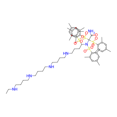 CCNCCCCNCCCCNCCCCNCCCC(N(C(C(N)=O)(S(=O)(=O)c1c(C)cc(C)cc1C)S(=O)(=O)c1c(C)cc(C)cc1C)S(=O)(=O)c1c(C)cc(C)cc1C)S(=O)(=O)c1c(C)cc(C)cc1C